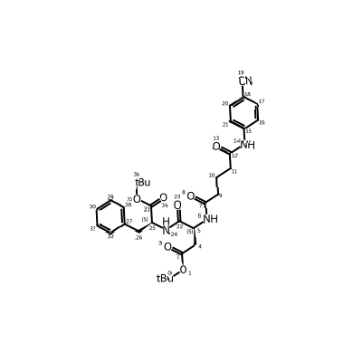 CC(C)(C)OC(=O)C[C@H](NC(=O)CCCC(=O)Nc1ccc(C#N)cc1)C(=O)N[C@@H](Cc1ccccc1)C(=O)OC(C)(C)C